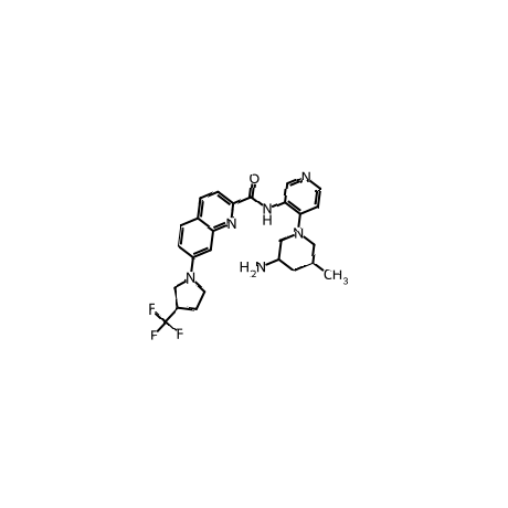 CC1CC(N)CN(c2ccncc2NC(=O)c2ccc3ccc(N4CCC(C(F)(F)F)C4)cc3n2)C1